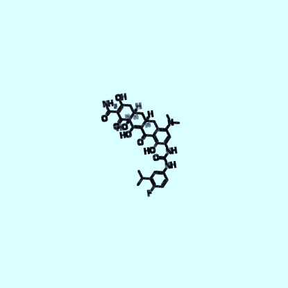 CC(C)c1cc(NC(=O)Nc2cc(N(C)C)c3c(c2O)C(=O)C2=C(O)[C@]4(O)C(=O)C(C(N)=O)=C(O)C[C@@H]4C[C@@H]2C3)ccc1F